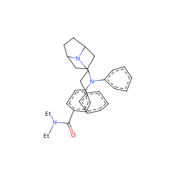 CCN(CC)C(=O)c1ccc(N(c2ccccc2)C2CC3CCC(C2)N3CCc2ccccc2)cc1